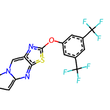 FC(F)(F)c1cc(Oc2nc3c(s2)=NC2=CCCN2C=3)cc(C(F)(F)F)c1